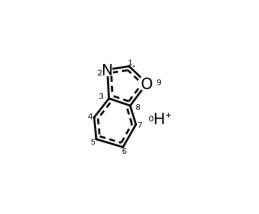 [H+].[c]1nc2ccccc2o1